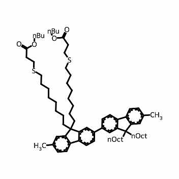 CCCCCCCCC1(CCCCCCCC)c2cc(C)ccc2-c2ccc(-c3ccc4c(c3)C(CCCCCCCCSCCC(=O)OCCCC)(CCCCCCCCSCCC(=O)OCCCC)c3cc(C)ccc3-4)cc21